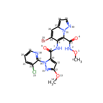 CONC(=O)c1c(NC(=O)c2cc(OC)nn2-c2ncccc2Cl)c(Br)cc2ccnn12